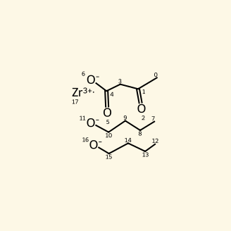 CC(=O)CC(=O)[O-].CCCC[O-].CCCC[O-].[Zr+3]